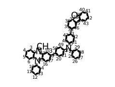 CN1c2ccccc2N(c2ccccc2)c2ccc(-c3ccc(N(c4ccccc4)c4ccc(-c5ccc6oc7ccccc7c6c5)cc4)cc3)cc21